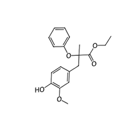 CCOC(=O)C(C)(Cc1ccc(O)c(OC)c1)Oc1ccccc1